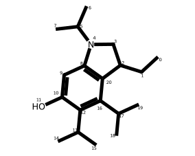 CCC1CN(C(C)C)c2cc(O)c(C(C)C)c(C(C)C)c21